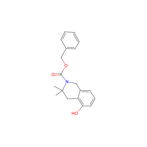 CC1(C)Cc2c(O)cccc2CN1C(=O)OCc1ccccc1